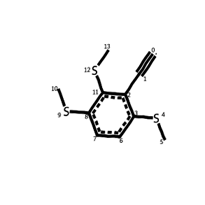 [C]#Cc1c(SC)ccc(SC)c1SC